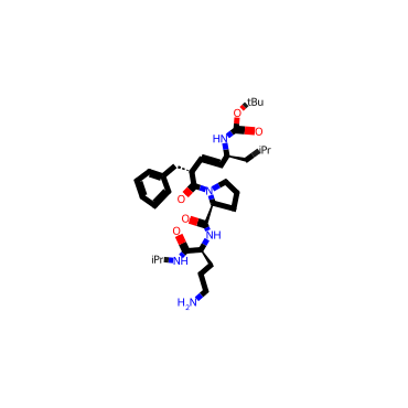 CC(C)C[C@@H](/C=C/[C@@H](Cc1ccccc1)C(=O)N1CCC[C@H]1C(=O)N[C@@H](CCCN)C(=O)NC(C)C)NC(=O)OC(C)(C)C